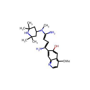 COc1ccnc2cc(/C(N)=C/C=C(\N)N(C)C3CC(C)(C)NC(C)(C)C3)c(O)cc12